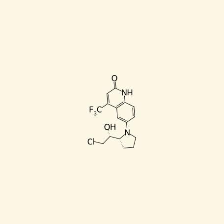 O=c1cc(C(F)(F)F)c2cc(N3CCC[C@@H]3[C@@H](O)CCl)ccc2[nH]1